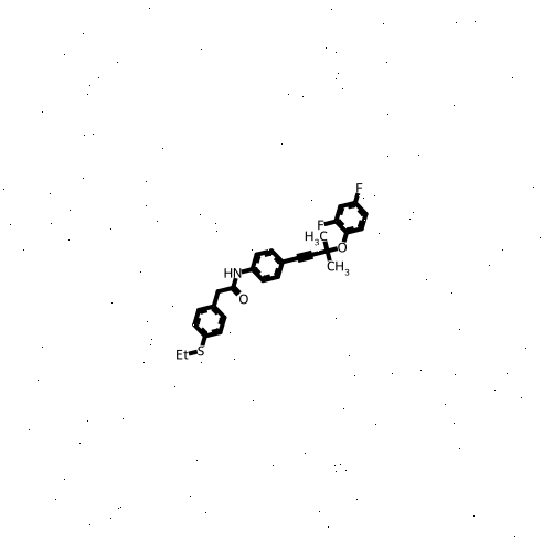 CCSc1ccc(CC(=O)Nc2ccc(C#CC(C)(C)Oc3ccc(F)cc3F)cc2)cc1